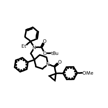 CCC1(N(CC2(c3ccccc3)CCN(C(=O)C3(c4ccc(OC)cc4)CC3)CC2)C(=O)OC(C)(C)C)C=CC=CC1